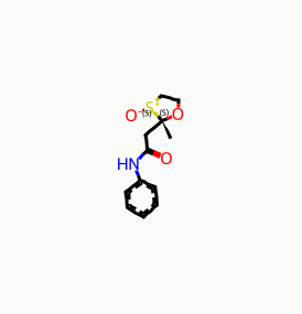 C[C@]1(CC(=O)Nc2ccccc2)OCC[S@@+]1[O-]